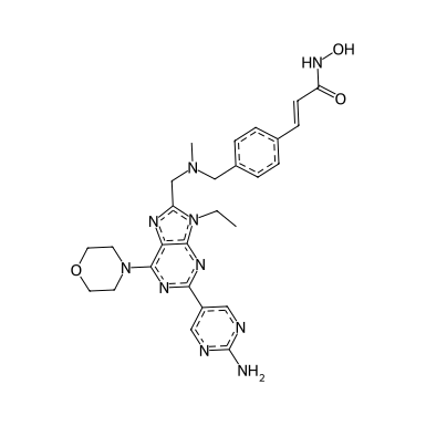 CCn1c(CN(C)Cc2ccc(/C=C/C(=O)NO)cc2)nc2c(N3CCOCC3)nc(-c3cnc(N)nc3)nc21